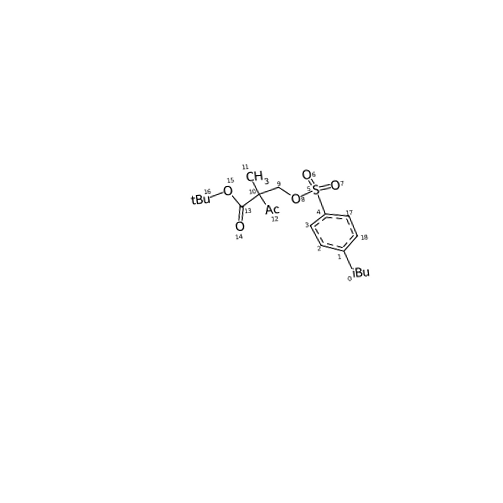 CCC(C)c1ccc(S(=O)(=O)OCC(C)(C(C)=O)C(=O)OC(C)(C)C)cc1